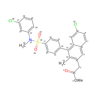 COC(=O)Cc1cc2ccc(Cl)cc2c(-c2ccc(S(=O)(=O)N(C)c3cccc(Cl)c3)cc2)c1C